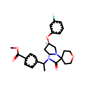 COC(=O)c1ccc(C(C)NC(=O)C2(N3CC[C@@H](Oc4cccc(F)c4)C3)CCOCC2)cc1